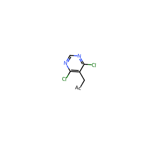 CC(=O)Cc1c(Cl)ncnc1Cl